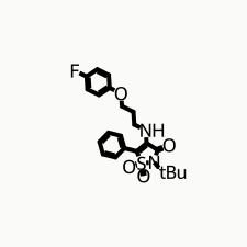 CC(C)(C)N1C(=O)C(NCCCOc2ccc(F)cc2)=C(c2ccccc2)S1(=O)=O